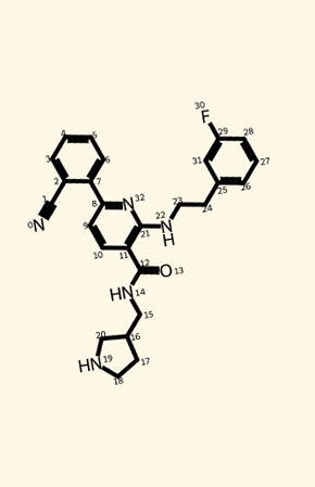 N#Cc1ccccc1-c1ccc(C(=O)NCC2CCNC2)c(NCCc2cccc(F)c2)n1